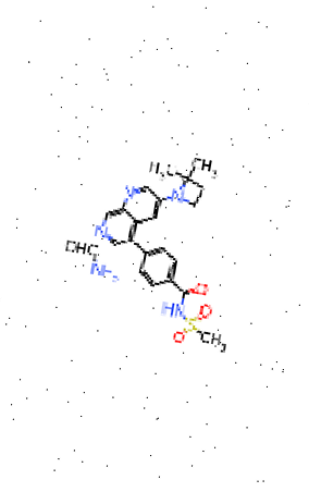 CC1(C)CCN1c1cnc2cncc(-c3ccc(C(=O)NS(C)(=O)=O)cc3)c2c1.NC=O